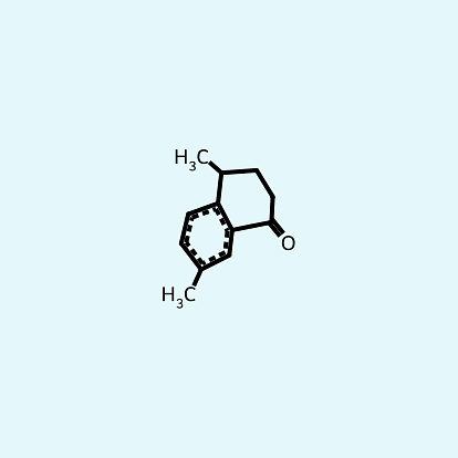 Cc1ccc2c(c1)C(=O)CCC2C